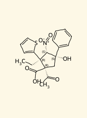 CC[C@]1(c2cccs2)[C@H]([N+](=O)[O-])[C@@](O)(c2ccccc2)C[C@@]1(C(C)=O)C(=O)O